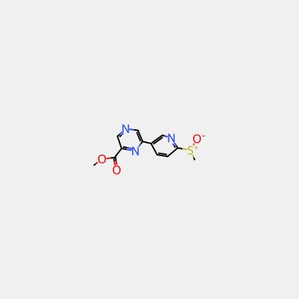 COC(=O)c1cncc(-c2ccc([S+](C)[O-])nc2)n1